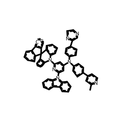 Cc1cc(-c2ccc(N(c3ccc(-c4cnccn4)cc3)c3cc(N4c5ccccc5C5(c6ccccc6-c6ccccc65)c5ccccc54)nc(-n4c5ccccc5c5ccccc54)c3)cc2)ccn1